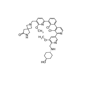 COc1cc(-c2nccc(-c3cccc(-c4ccc(CN5CC6(CNC(=O)C6)C5)c(OC)n4)c3Cl)c2Cl)cnc1CN[C@H]1CC[C@H](O)CC1